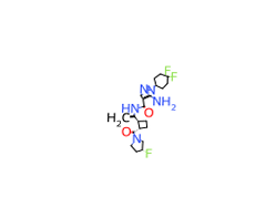 C=C(NC(=O)c1cnn(C2CCC(F)(F)CC2)c1N)[C@H]1CC[C@@H]1C(=O)N1CC[C@@H](F)C1